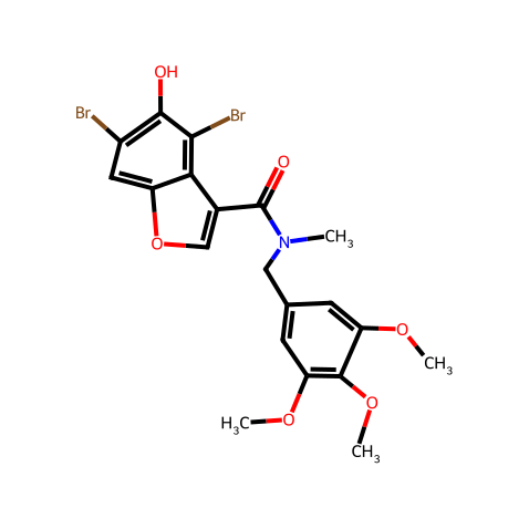 COc1cc(CN(C)C(=O)c2coc3cc(Br)c(O)c(Br)c23)cc(OC)c1OC